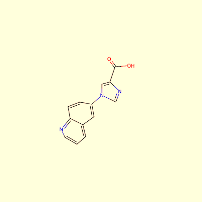 O=C(O)c1cn(-c2ccc3ncccc3c2)cn1